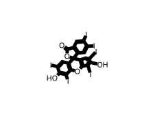 O=C1OC2(c3cc(I)c(I)cc31)c1cc(I)c(O)c(I)c1Oc1c2cc(I)c(O)c1I